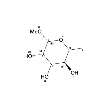 CO[C@@H]1OC(C)[C@@H](O)C(O)[C@@H]1O